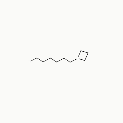 NCCCCCCN1CCC1